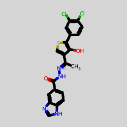 C/C(=N\NC(=O)c1ccc2[nH]cnc2c1)c1csc(-c2ccc(Cl)c(Cl)c2)c1O